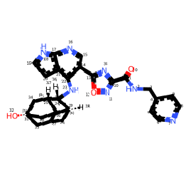 O=C(NCc1ccncc1)c1noc(-c2cnc3[nH]ccc3c2N[C@H]2[C@@H]3CC4C[C@H]2C[C@@](O)(C4)C3)n1